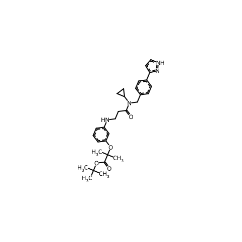 CC(C)(C)OC(=O)C(C)(C)Oc1cccc(NCCC(=O)N(Cc2ccc(-c3cc[nH]n3)cc2)C2CC2)c1